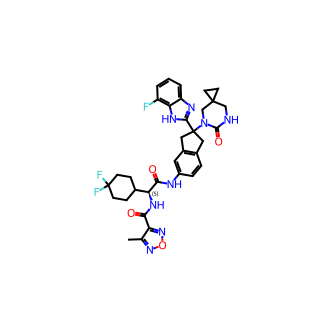 Cc1nonc1C(=O)N[C@H](C(=O)Nc1ccc2c(c1)CC(c1nc3cccc(F)c3[nH]1)(N1CC3(CC3)CNC1=O)C2)C1CCC(F)(F)CC1